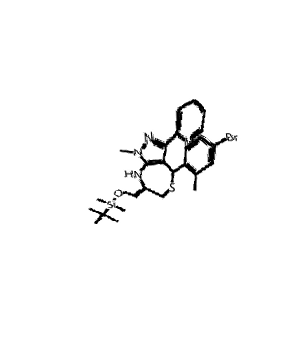 Cc1cc(Br)ccc1C1SCC(CO[Si](C)(C)C(C)(C)C)Nc2c1c(-c1ccccn1)nn2C